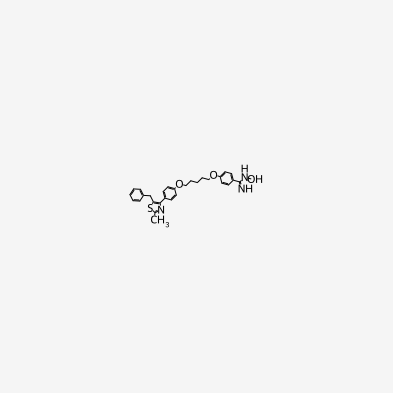 Cc1nc(-c2ccc(OCCCCCOc3ccc(C(=N)NO)cc3)cc2)c(Cc2ccccc2)s1